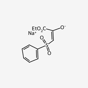 CCOC(=O)/C([O-])=C\S(=O)(=O)c1ccccc1.[Na+]